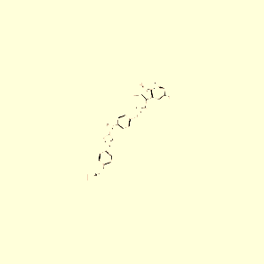 CCc1c(C(=O)NCc2ccc(N(C)C3CN(c4ccc(OC(F)(F)F)cc4)C3)cc2)c2cc(Cl)cnc2n1C